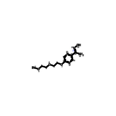 CCOCCOCCOc1cnc(/C(N)=N/O)cn1